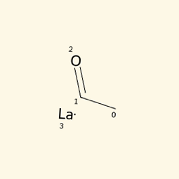 CC=O.[La]